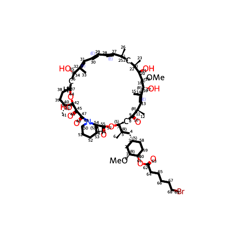 CO[C@@H]1C[C@H](C[C@@H](C)[C@@H]2CC(=O)[C@H](C)/C=C(\C)[C@@H](O)[C@@H](OC)C(O)[C@H](C)C[C@H](C)/C=C/C=C/C=C(\C)[C@@H](O)C[C@@H]3CC[C@@H](C)[C@@](O)(O3)C(=O)C(=O)N3CCCC[C@H]3C(=O)O2)CC[C@H]1OC(=O)CCCCCBr